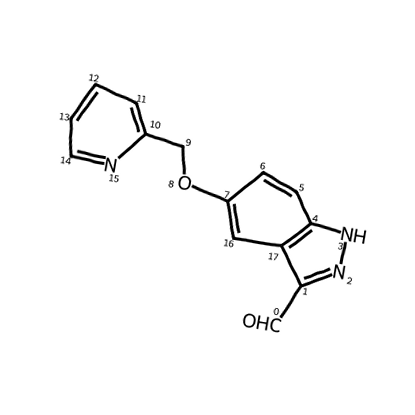 O=Cc1n[nH]c2ccc(OCc3ccccn3)cc12